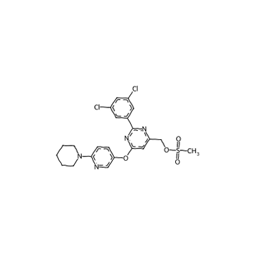 CS(=O)(=O)OCc1cc(Oc2ccc(N3CCCCC3)nc2)nc(-c2cc(Cl)cc(Cl)c2)n1